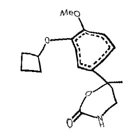 COc1ccc(C2(C)CNC(=O)O2)cc1OC1CCC1